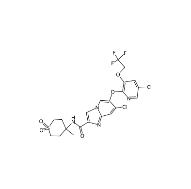 CC1(NC(=O)c2cn3cc(Oc4ncc(Cl)cc4OCC(F)(F)F)c(Cl)cc3n2)CCS(=O)(=O)CC1